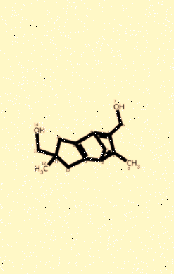 CC1=C2CC(=C1CO)C1=C2CC(C)(CO)C1